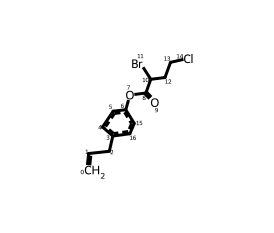 C=CCc1ccc(OC(=O)C(Br)CCCl)cc1